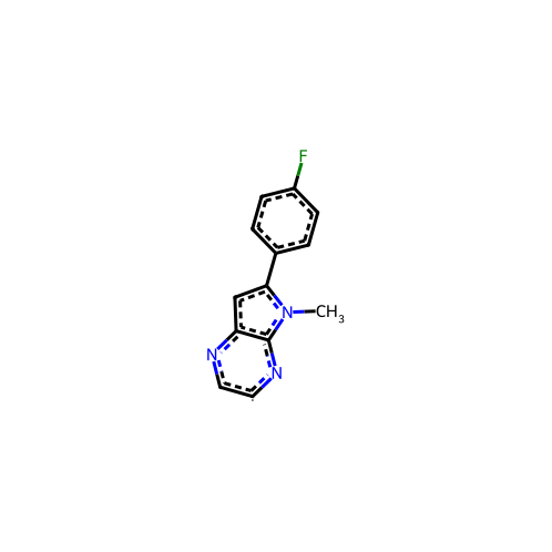 Cn1c(-c2ccc(F)cc2)cc2nc[c]nc21